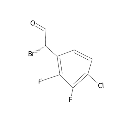 O=C[C@@H](Br)c1ccc(Cl)c(F)c1F